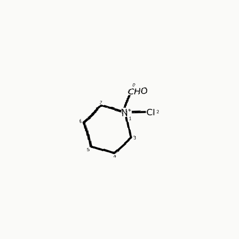 O=C[N+]1(Cl)CCCCC1